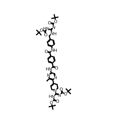 Cc1nc(NC(=O)c2ccc(C(=O)Nc3ccc(CN/C(=N/C(=O)OC(C)(C)C)NC(=O)OC(C)(C)C)cc3)cc2)cnc1C1=CCN(/C(=N\C(=O)OC(C)(C)C)NC(=O)OC(C)(C)C)CC1